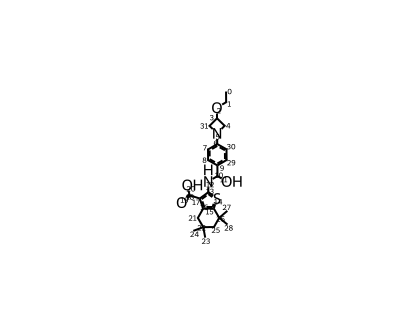 CCOC1CN(c2ccc(C(O)Nc3sc4c(c3C(=O)O)CC(C)(C)CC4(C)C)cc2)C1